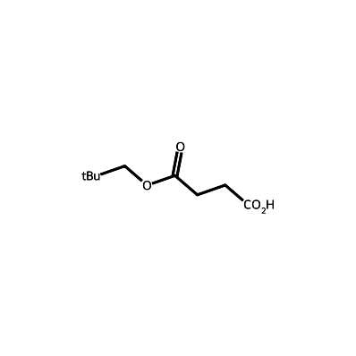 CC(C)(C)COC(=O)CCC(=O)O